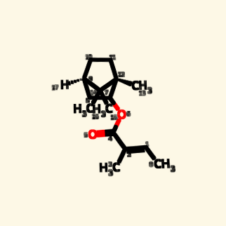 CC=C(C)C(=O)OC1C[C@H]2CC[C@@]1(C)C2(C)C